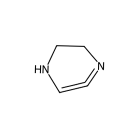 C1=CNCCN=1